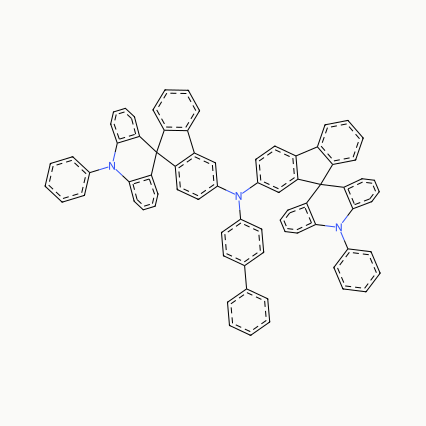 c1ccc(-c2ccc(N(c3ccc4c(c3)-c3ccccc3C43c4ccccc4N(c4ccccc4)c4ccccc43)c3ccc4c(c3)C3(c5ccccc5-4)c4ccccc4N(c4ccccc4)c4ccccc43)cc2)cc1